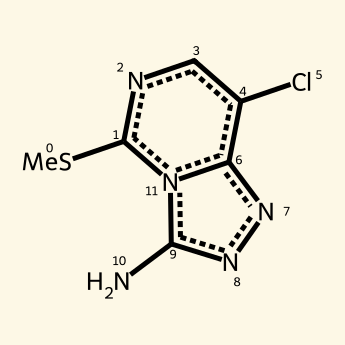 CSc1ncc(Cl)c2nnc(N)n12